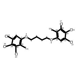 Clc1cc(OCCCCOc2cc(Cl)c(Cl)c(Cl)c2I)c(I)c(Cl)c1Cl